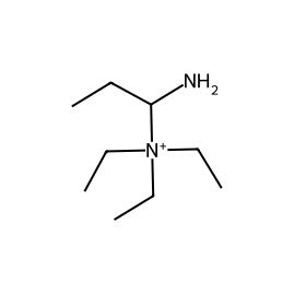 CCC(N)[N+](CC)(CC)CC